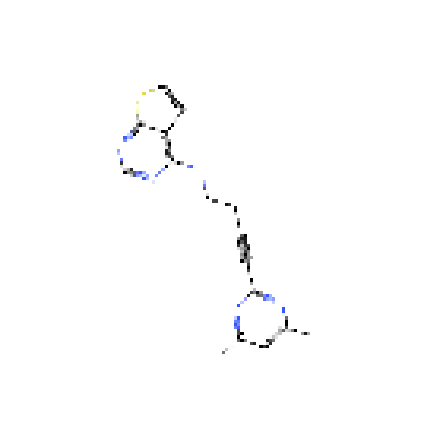 COc1cc(OC)nc(C#CCCNc2ncnc3sccc23)n1